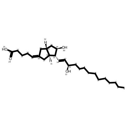 CCCCCCCCCCC[C@@H](O)/C=C/[C@@H]1[C@H]2C/C(=C/CCCC(=O)O)C[C@@H]2C[C@H]1O